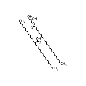 CCCCCCCCCCCCCCC(CCCCCCCCCCCC)C(=O)O.CCCCCCCCCCCCCCCCCCCCCC(=O)OCC(O)CO